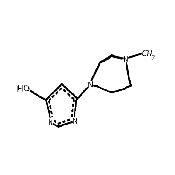 CN1CCN(c2cc(O)ncn2)CC1